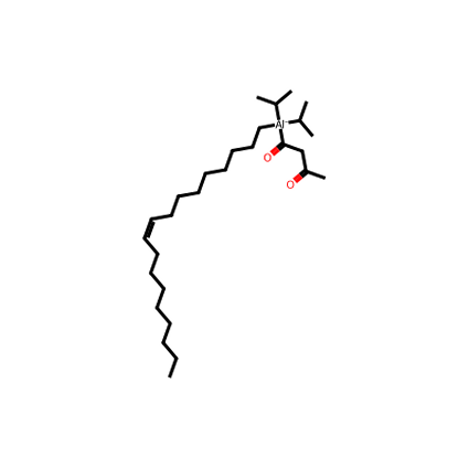 CCCCCCCC/C=C\CCCCCCC[CH2][Al-]([C](=O)CC(C)=O)([CH](C)C)[CH](C)C